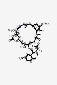 COc1cc2cc(c1Cl)N(C)C(=O)C[C@H](OC(=O)[C@H](C)N(C)C(=O)c1cc(N)ccc1F)C(C)[C@@H](O)[C@H](C)[C@@H]1C[C@@](O)(NC(=O)O1)[C@H](OC)/C=C/C=C(\C)C2